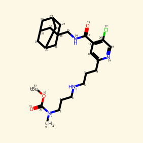 CN(CCCNCCCc1cc(C(=O)NCC23CC4CC(CC(C4)C2)C3)c(Cl)cn1)C(=O)OC(C)(C)C